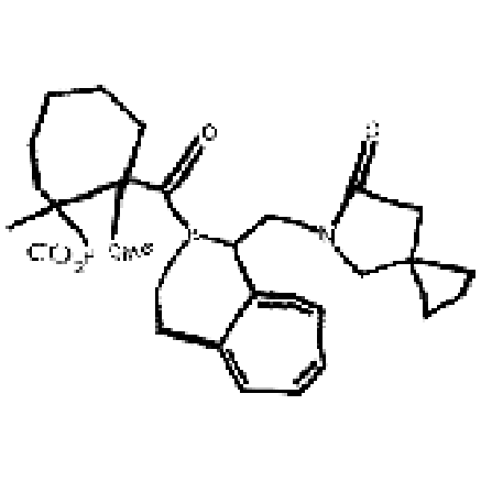 COC1(C(=O)N2CCc3ccccc3C2CN2CC3(CC3)CC2=O)CCCCC1(C)C(=O)O